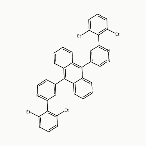 CCc1cccc(CC)c1-c1cc(-c2c3ccccc3c(-c3cnnc(-c4c(CC)cccc4CC)c3)c3ccccc23)ccn1